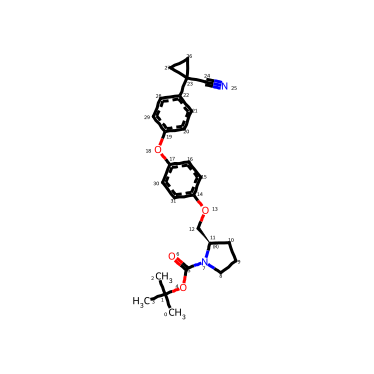 CC(C)(C)OC(=O)N1CCC[C@@H]1COc1ccc(Oc2ccc(C3(C#N)CC3)cc2)cc1